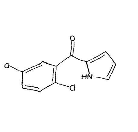 O=C(c1ccc[nH]1)c1cc(Cl)ccc1Cl